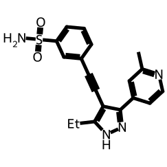 CCc1[nH]nc(-c2ccnc(C)c2)c1C#Cc1cccc(S(N)(=O)=O)c1